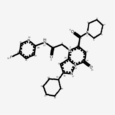 O=C(Cn1c(C(=O)N2CCCCC2)cc(=O)n2nc(C3CCCCC3)cc12)Nc1ccc(F)cn1